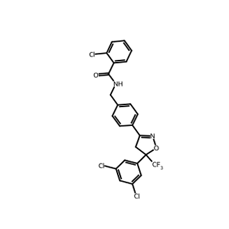 O=C(NCc1ccc(C2=NOC(c3cc(Cl)cc(Cl)c3)(C(F)(F)F)C2)cc1)c1ccccc1Cl